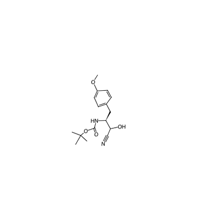 COc1ccc(C[C@H](NC(=O)OC(C)(C)C)C(O)C#N)cc1